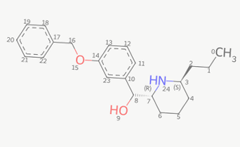 CCC[C@H]1CCC[C@H](C(O)c2cccc(OCc3ccccc3)c2)N1